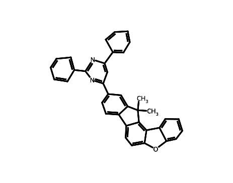 CC1(C)c2cc(-c3cc(-c4ccccc4)nc(-c4ccccc4)n3)ccc2-c2ccc3oc4ccccc4c3c21